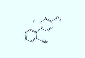 CSc1cccc[n+]1-c1ccc(C(F)(F)F)nc1.[I-]